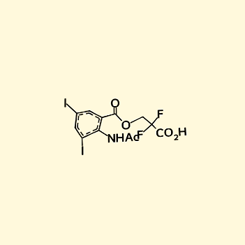 CC(=O)Nc1c(I)cc(I)cc1C(=O)OCC(F)(F)C(=O)O